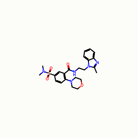 Cc1nc2ccccc2n1CCNC(=O)c1cc(S(=O)(=O)N(C)C)ccc1N1CCOCC1